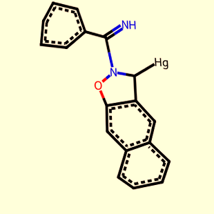 N=C(c1ccccc1)N1Oc2cc3ccccc3cc2[CH]1[Hg]